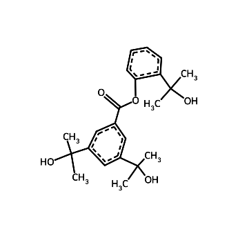 CC(C)(O)c1cc(C(=O)Oc2ccccc2C(C)(C)O)cc(C(C)(C)O)c1